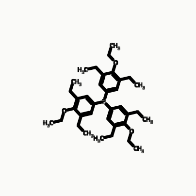 CCOc1c(CC)cc(P(c2cc(CC)c(OCC)c(CC)c2)c2cc(CC)c(OCC)c(CC)c2)cc1CC